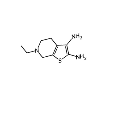 CCN1CCc2c(sc(N)c2N)C1